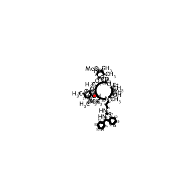 CC[C@H]1OC(=O)[C@H](C)[C@@H](O[C@@H](CCOC)O[C@@H](C)[C@@H](C)O)[C@H](C)[C@@H](O[C@@H]2O[C@H](C)C[C@H](N(C)C)[C@H]2O)[C@](C)(O)C[C@@H](C)CN(CCCNC(=S)NC(c2ccccc2)c2ccccc2)[C@H](C)[C@@H](O)[C@]1(C)O